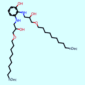 CCCCCCCCCCCCCCCCCCCOCC(O)CNc1cccc(O)c1NCC(O)COCCCCCCCCCCCCCCCCCCC